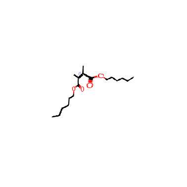 CCCCCCOC(=O)/C(C)=C(/C)C(=O)OCCCCCC